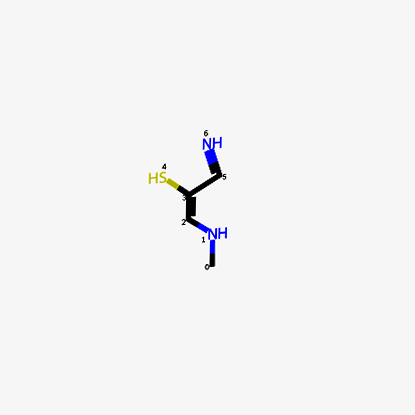 CN/C=C(/S)C=N